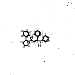 C(=C(Nc1ccccc1)c1ccccc1)C(=Nc1ccccc1)N1CCCC1